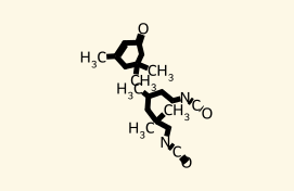 CC(CCN=C=O)CC(C)(C)CN=C=O.CC1=CC(=O)CC(C)(C)C1